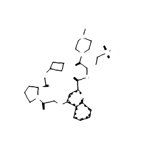 CCOC(=O)N1CCN(C(=O)[C@H](CCS(C)(=O)=O)NC(=O)c2cc(OCC(=O)N3CCC[C@H]3C(=O)NC3CCC3)c3ccccc3n2)CC1